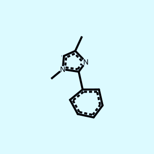 Cc1[c]n(C)c(-c2ccccc2)n1